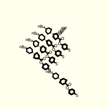 CCCC[C@H]1CC[C@H](c2ccc(C(=O)Oc3ccc([S])cc3)cc2)CC1.CCCC[C@H]1CC[C@H](c2ccc(C(=O)Oc3ccc([S])cc3)cc2)CC1.CCCC[C@H]1CC[C@H](c2ccc(C(=O)Oc3ccc([S])cc3)cc2)CC1.CCCC[C@H]1CC[C@H](c2ccc(C(=O)Oc3ccc([S])cc3)cc2)CC1.CCCC[C@H]1CC[C@H](c2ccc(C(=O)Oc3ccc([S])cc3)cc2)CC1.F.F.F.F.F